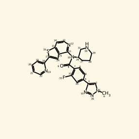 Cn1cc(-c2ccc(C(=O)N(c3nccc4sc(-c5ccccn5)cc34)[C@@H]3CCCNC3)c(F)c2)nn1